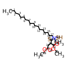 CCCCCCCCCCCCCCCCCC[N+](C)(S)C(=S)C(CC(=O)OCC)C(=O)OCC